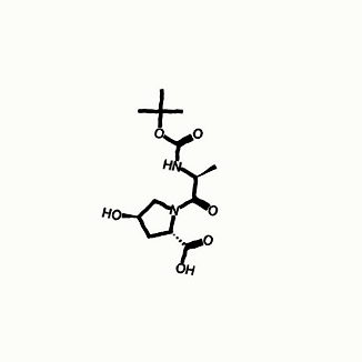 C[C@H](NC(=O)OC(C)(C)C)C(=O)N1C[C@H](O)C[C@H]1C(=O)O